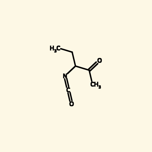 CCC(N=C=O)C(C)=O